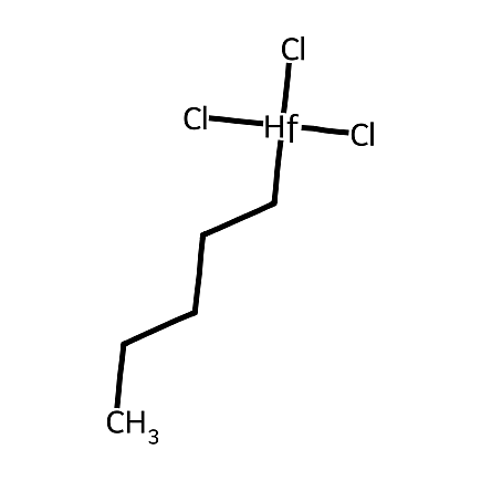 CCCC[CH2][Hf]([Cl])([Cl])[Cl]